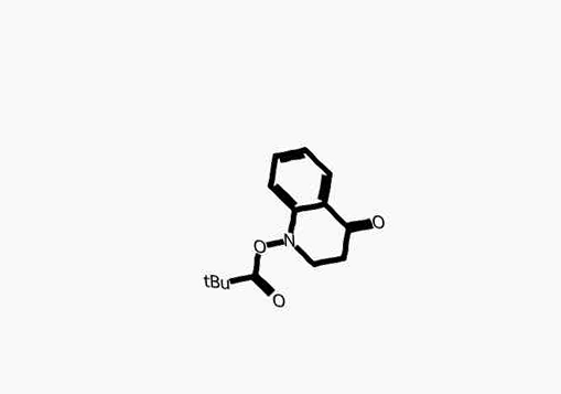 CC(C)(C)C(=O)ON1CCC(=O)c2ccccc21